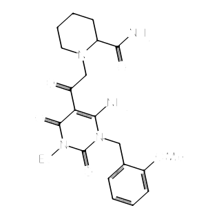 CCn1c(=O)c(C(=O)CN2CCCCC2C(N)=O)c(N)n(Cc2ccccc2OC)c1=O